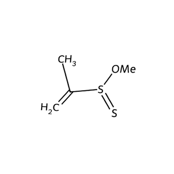 C=C(C)S(=S)OC